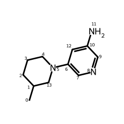 CC1CCCN(c2cncc(N)c2)C1